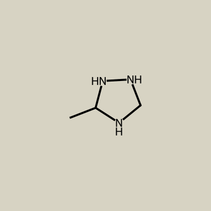 CC1NCNN1